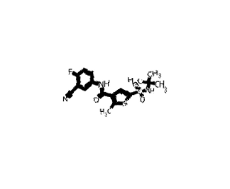 Cc1sc(S(=O)(=O)NC(C)(C)C)cc1C(=O)Nc1ccc(F)c(C#N)c1